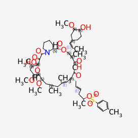 CO[C@H]1C[C@@H](C)C/C(C)=C/[C@@H](C/C=C/CC(C)OS(=O)(=O)c2ccc(C)cc2)C(=O)C[C@H](O)[C@@H](C)[C@@H](/C(C)=C/[C@@H]2CC[C@@H](O)[C@H](OC)C2)OC(=O)[C@@H]2CCCCN2C(=O)C(=O)[C@]2(O)O[C@H]1[C@@H](OC)C[C@H]2C